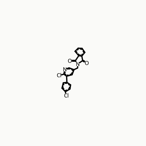 O=C1c2ccccc2C(=O)N1Cc1cnc(Cl)c(-c2ccc(Cl)cc2)c1